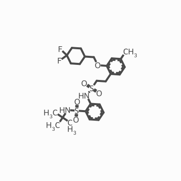 Cc1ccc(CCS(=O)(=O)Nc2ccccc2S(=O)(=O)NC(C)(C)C)c(OCC2CCC(F)(F)CC2)c1